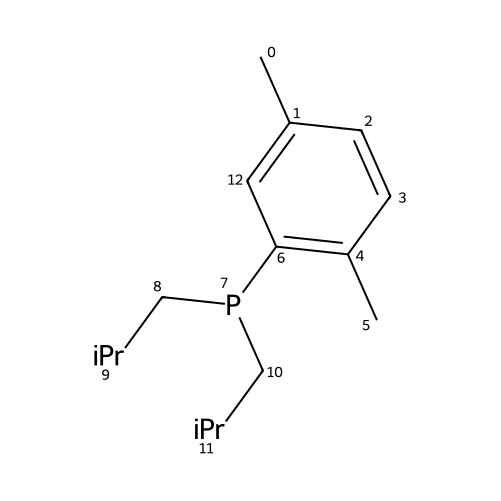 Cc1ccc(C)c(P(CC(C)C)CC(C)C)c1